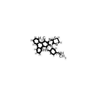 CNc1ccc(Nc2c3nc4c(nc3c(C)c3c5ccccc5c5ccccc5c23)SCCS4)cc1